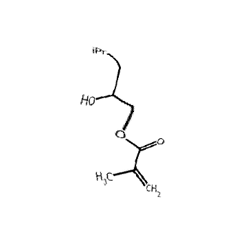 C=C(C)C(=O)OCC(O)CC(C)C